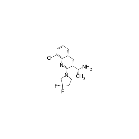 C[C@H](N)c1cc2cccc(Cl)c2nc1N1CCC(F)(F)C1